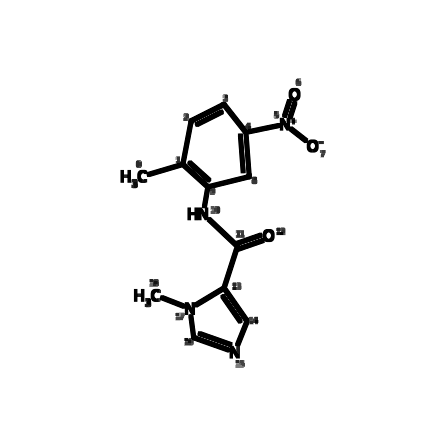 Cc1ccc([N+](=O)[O-])cc1NC(=O)c1cncn1C